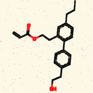 C=CC(=O)OCCc1cc(CCC)ccc1-c1ccc(CCO)cc1